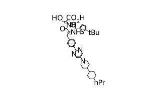 CCCC1CCC(C2CCN(c3cnc(-c4ccc(C[C@H](NC(=O)c5ccc(C(C)(C)C)s5)C(=O)N[C@@H](CO)C(=O)O)cc4)nc3)CC2)CC1